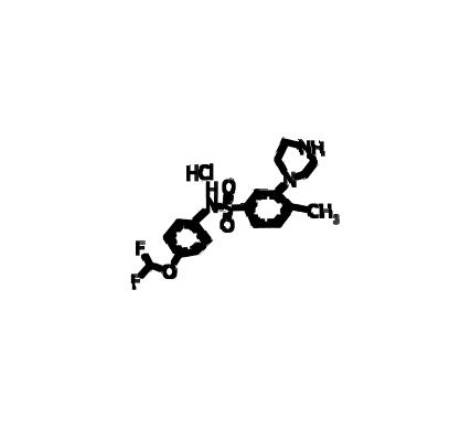 Cc1ccc(S(=O)(=O)Nc2ccc(OC(F)F)cc2)cc1N1CCNCC1.Cl